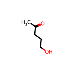 CC(=O)C[CH]CO